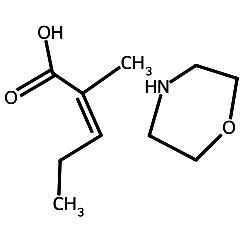 C1COCCN1.CCC=C(C)C(=O)O